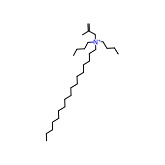 C=C(C)C[N+](CCCC)(CCCC)CCCCCCCCCCCCCCCCC